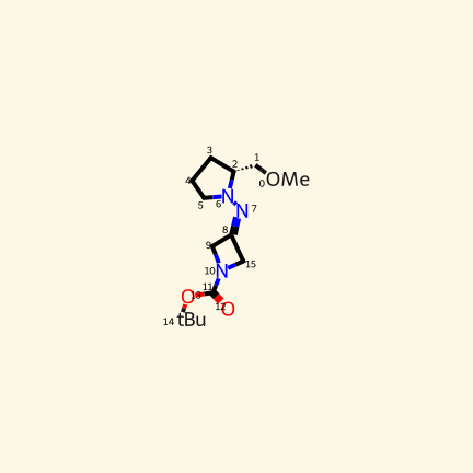 COC[C@H]1CCCN1N=C1CN(C(=O)OC(C)(C)C)C1